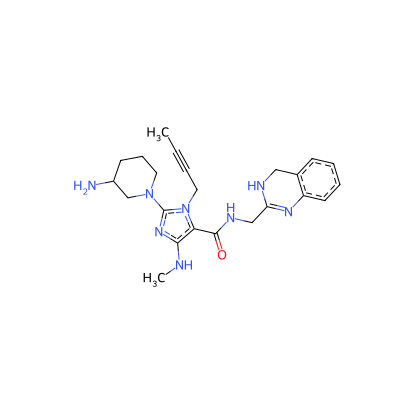 CC#CCn1c(N2CCCC(N)C2)nc(NC)c1C(=O)NCC1=Nc2ccccc2CN1